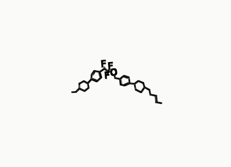 CC=CCCC1CCC(c2ccc(COC(F)(F)C(F)c3ccc(C4CCC(CC)CC4)cc3)cc2)CC1